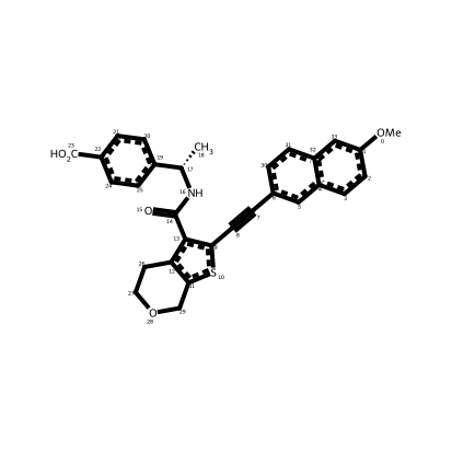 COc1ccc2cc(C#Cc3sc4c(c3C(=O)N[C@@H](C)c3ccc(C(=O)O)cc3)CCOC4)ccc2c1